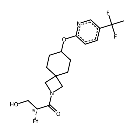 CC[C@H](CO)C(=O)N1CC2(CCC(Oc3ccc(C(C)(F)F)cn3)CC2)C1